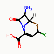 NC1C(=O)N2C(C(=O)O)=CC(Cl)S[C@@H]12